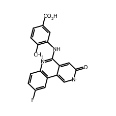 Cc1ccc(C(=O)O)cc1Nc1nc2ccc(F)cc2c2c1=CC(=O)[N]C=2